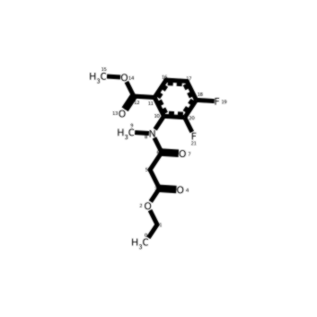 CCOC(=O)CC(=O)N(C)c1c(C(=O)OC)ccc(F)c1F